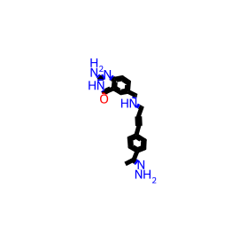 CC(=NN)c1ccc(C#CCNCc2ccc3nc(N)[nH]c(=O)c3c2)cc1